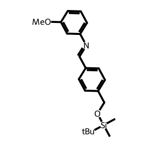 COc1cccc(N=Cc2ccc(CO[Si](C)(C)C(C)(C)C)cc2)c1